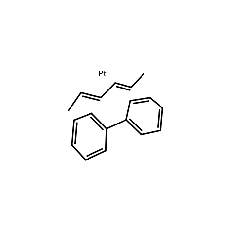 CC=CC=CC.[Pt].c1ccc(-c2ccccc2)cc1